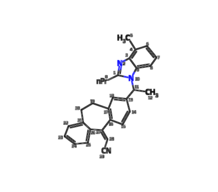 CCCc1nc2c(C)cccc2n1C(C)c1ccc2c(c1)CCc1ccccc1/C2=C\C#N